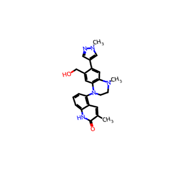 Cc1cc2c(N3CCN(C)c4cc(-c5cnn(C)c5)c(CO)cc43)cccc2[nH]c1=O